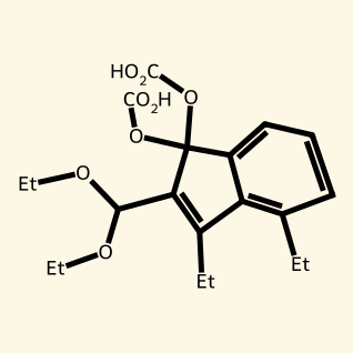 CCOC(OCC)C1=C(CC)c2c(CC)cccc2C1(OC(=O)O)OC(=O)O